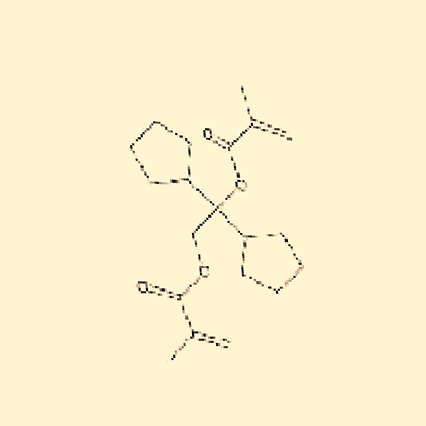 C=C(C)C(=O)OCC(OC(=O)C(=C)C)(C1CCCC1)C1CCCC1